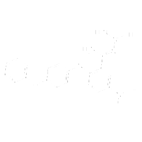 CN(N)/N=C(\N)c1cc(N(C)S)ccc1Nc1ccc(Oc2ccccc2)cc1